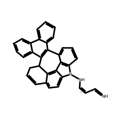 N=C/C=C\Nn1c2cccc3c2c2c4c(ccc21)C=CCC4c1c-3c2ccccc2c2ccccc12